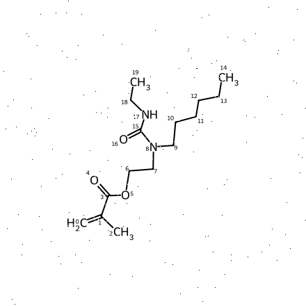 C=C(C)C(=O)OCCN(CCCCCC)C(=O)NCC